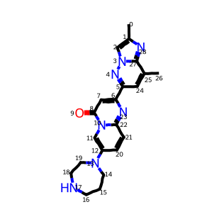 Cc1cn2nc(-c3cc(=O)n4cc(N5CCCNCC5)ccc4n3)cc(C)c2n1